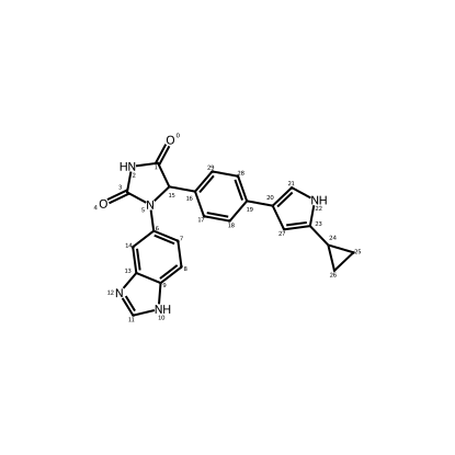 O=C1NC(=O)N(c2ccc3[nH]cnc3c2)C1c1ccc(-c2c[nH]c(C3CC3)c2)cc1